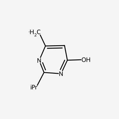 [CH2]c1cc(O)nc(C(C)C)n1